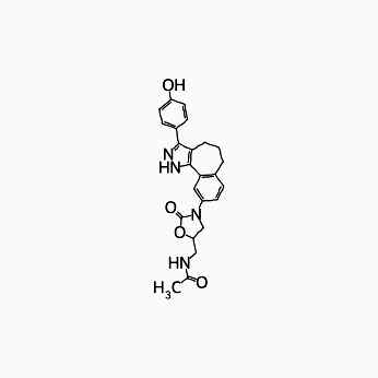 CC(=O)NCC1CN(c2ccc3c(c2)-c2[nH]nc(-c4ccc(O)cc4)c2CCC3)C(=O)O1